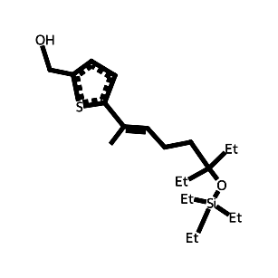 CCC(CC)(CCC=C(C)c1ccc(CO)s1)O[Si](CC)(CC)CC